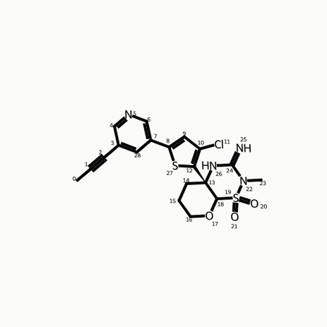 CC#Cc1cncc(-c2cc(Cl)c([C@]34CCCOC3S(=O)(=O)N(C)C(=N)N4)s2)c1